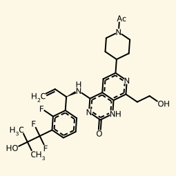 C=C[C@@H](Nc1nc(=O)[nH]c2c(CCO)nc(C3CCN(C(C)=O)CC3)cc12)c1cccc(C(F)(F)C(C)(C)O)c1F